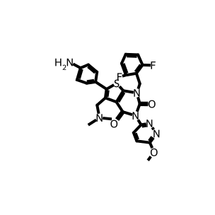 COc1ccc(-n2c(=O)c3c(CN(C)C)c(-c4ccc(N)cc4)sc3n(Cc3c(F)cccc3F)c2=O)nn1